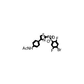 CC(=O)Nc1ccc(-c2csc(NS(=O)(=O)c3cc(F)c(Br)cc3F)n2)cc1